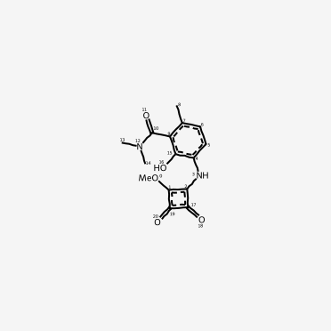 COc1c(Nc2ccc(C)c(C(=O)N(C)C)c2O)c(=O)c1=O